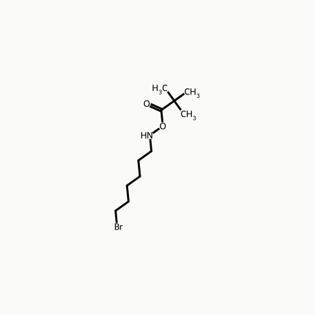 CC(C)(C)C(=O)ONCCCCCCBr